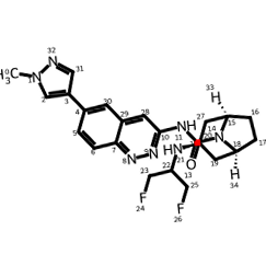 Cn1cc(-c2ccc3nnc(NC(=O)N4[C@@H]5CC[C@H]4C[C@@H](NC(CF)CF)C5)cc3c2)cn1